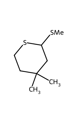 CSC1CC(C)(C)CCS1